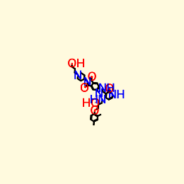 Cc1ccc(OC[C@H](O)CNc2cc[nH]c(=O)c2-c2nc3cc4c(cc3[nH]2)C(=O)N(C2CCN(CCCO)CC2)C4=O)c(C)c1